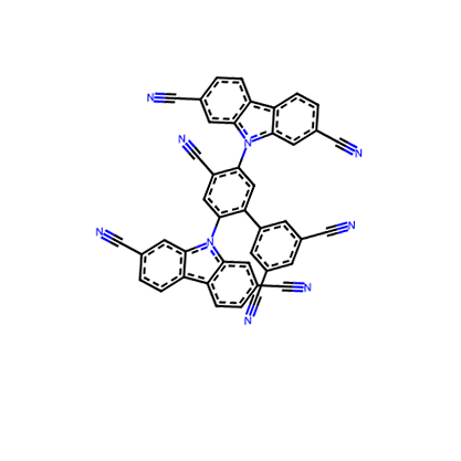 N#Cc1cc(C#N)cc(-c2cc(-n3c4cc(C#N)ccc4c4ccc(C#N)cc43)c(C#N)cc2-n2c3cc(C#N)ccc3c3ccc(C#N)cc32)c1